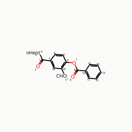 CCCCCCCC(=O)c1ccc(OC(=O)c2ccccc2)c([C]=O)c1